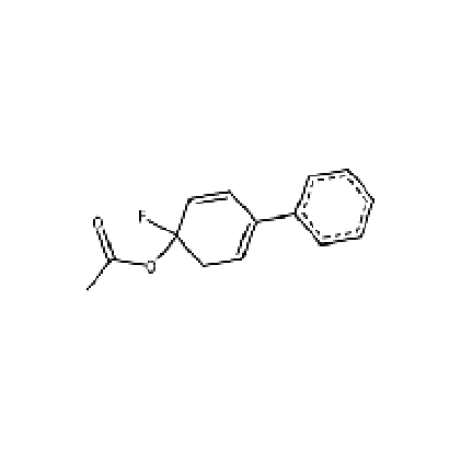 CC(=O)OC1(F)C=CC(c2ccccc2)=CC1